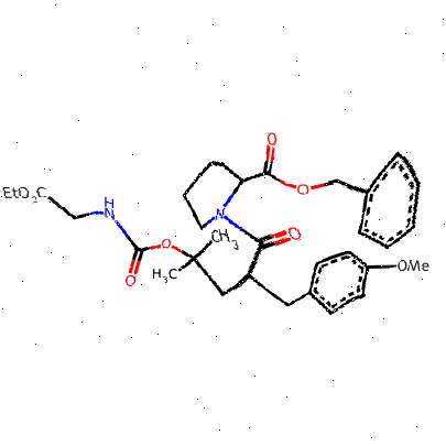 CCOC(=O)CNC(=O)OC(C)(C)CC(Cc1ccc(OC)cc1)C(=O)N1CCCC1C(=O)OCc1ccccc1